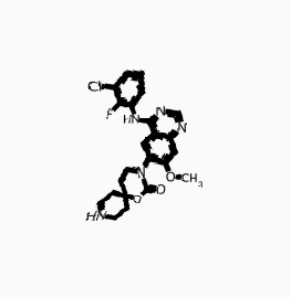 COc1cc2ncnc(Nc3cccc(Cl)c3F)c2cc1N1CCC2(CCNCC2)OC1=O